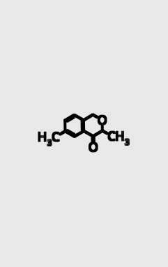 Cc1ccc2c(c1)C(=O)C(C)OC2